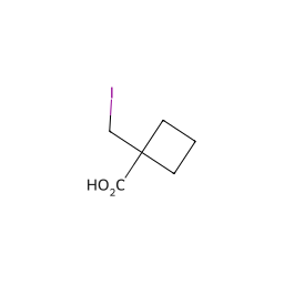 O=C(O)C1(CI)CCC1